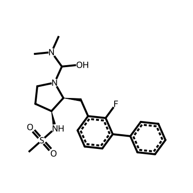 CN(C)C(O)N1CC[C@H](NS(C)(=O)=O)[C@@H]1Cc1cccc(-c2ccccc2)c1F